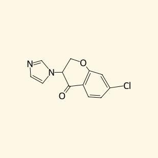 O=C1c2ccc(Cl)cc2OCC1n1ccnc1